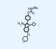 CC(C)(C)NC(=O)Oc1ccc(-c2c(N)c3ccc(OC4CCOCC4)cc3n2C2CCC2)cc1